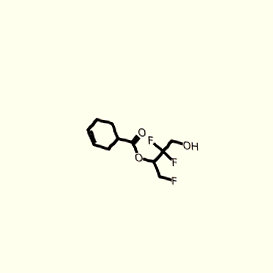 O=C(OC(CF)C(F)(F)CO)C1CC=CCC1